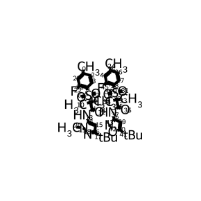 Cc1ccc(S(=O)(=O)C(C)(C)C(=O)Nc2cc(C(C)(C)C)nn2C)c(F)c1.Cc1ccc(S(=O)(=O)C(C)(C)C(=O)Nc2cc(C(C)(C)C)on2)c(F)c1